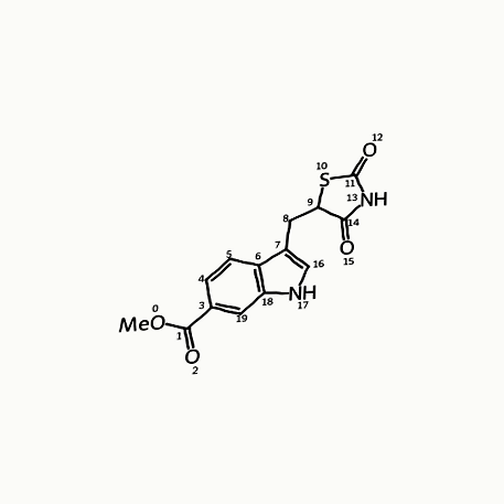 COC(=O)c1ccc2c(CC3SC(=O)NC3=O)c[nH]c2c1